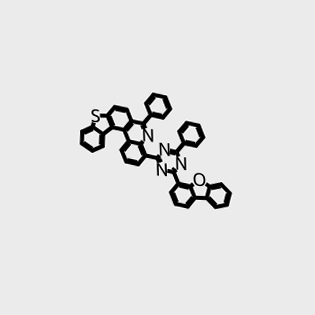 c1ccc(-c2nc(-c3cccc4c3nc(-c3ccccc3)c3ccc5sc6ccccc6c5c34)nc(-c3cccc4c3oc3ccccc34)n2)cc1